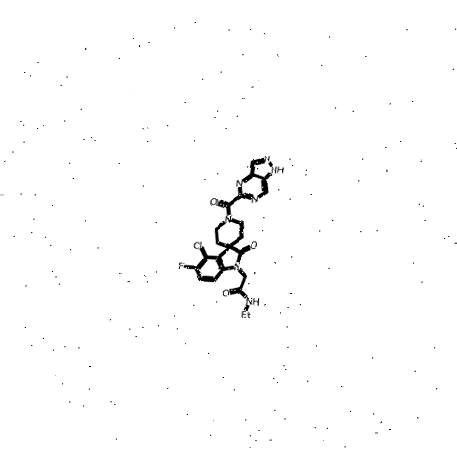 CCNC(=O)CN1C(=O)C2(CCN(C(=O)c3ncc4[nH]ncc4n3)CC2)c2c1ccc(F)c2Cl